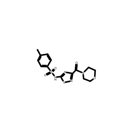 Cc1ccc(S(=O)(=O)Nc2nc(C(=O)N3CCOCC3)ns2)cc1